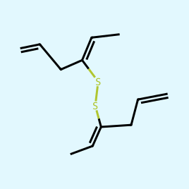 C=CC/C(=C/C)SS/C(=C\C)CC=C